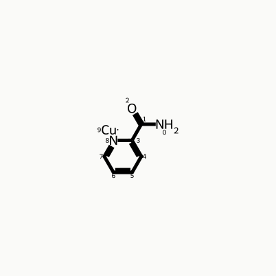 NC(=O)c1ccccn1.[Cu]